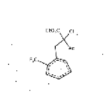 CCOC(=O)C(C)(Cc1ccccc1C(F)(F)F)C(C)=O